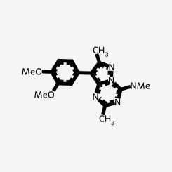 CNc1nc(C)nc2c(-c3ccc(OC)c(OC)c3)c(C)nn12